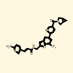 Nc1ccc(/C=C/C(=O)NCc2cc3cc(-c4ccc(C(=O)N5CC6CC6C5)cn4)cc(C(F)(F)F)c3o2)cn1